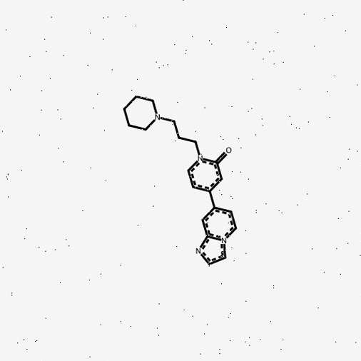 O=c1cc(-c2ccn3ccnc3c2)ccn1CCCN1CCCCC1